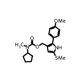 COc1ccc(-c2[nH]c(SC)cc2COC(=O)N(C)C2CCCC2)cc1